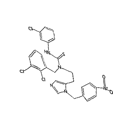 O=[N+]([O-])c1ccc(Cn2cncc2CCN(Cc2cccc(Cl)c2Cl)C(=S)Nc2cccc(Cl)c2)cc1